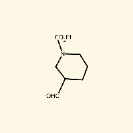 CCOC(=O)N1CCCC([C]=O)C1